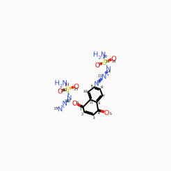 O=C1C=CC(=O)c2ccccc21.[N-]=[N+]=NS(N)(=O)=O.[N-]=[N+]=NS(N)(=O)=O